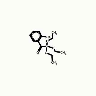 CCO[Si](OCC)(OCC)C(=O)c1ccccc1C